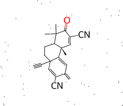 C#CC12C=C(C#N)C(=C)C=C1[C@@]1(C)C=C(C#N)C(=O)C(C)(C)C1CC2